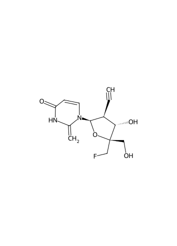 C#C[C@@H]1[C@H](N2C=CC(=O)NC2=C)O[C@@](CO)(CF)[C@H]1O